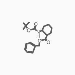 CC(C)(C)OC(=O)NC1CCCCC1C(=O)OCc1ccccc1